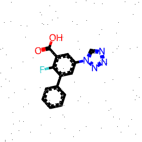 O=C(O)c1cc(-n2cnnn2)cc(-c2ccccc2)c1F